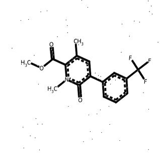 COC(=O)c1c(C)cc(-c2cccc(C(F)(F)F)c2)c(=O)n1C